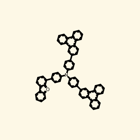 c1ccc2c(c1)oc1c(-c3ccc(N(c4ccc(-c5ccc6c7ccccc7c7ccccc7c6c5)cc4)c4ccc(-c5ccc6c7ccccc7c7ccccc7c6c5)cc4)cc3)cccc12